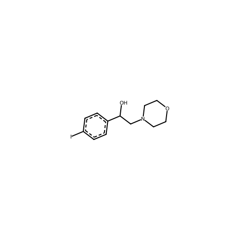 OC(CN1CCOCC1)c1ccc(I)cc1